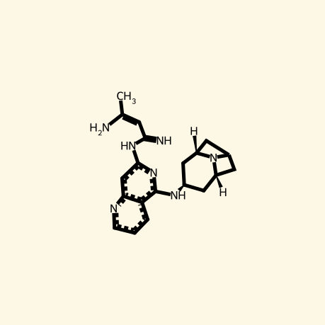 C/C(N)=C/C(=N)Nc1cc2ncccc2c(N[C@@H]2C[C@H]3CC4C[C@@H](C2)N43)n1